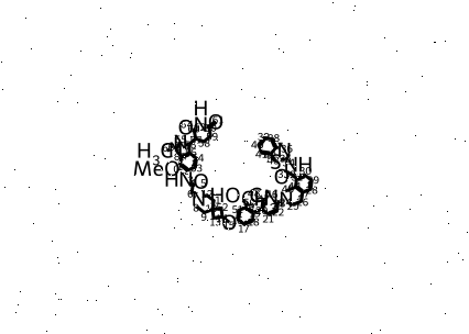 COc1c(NC(=O)CN2CCC3(CC2)CC(Oc2ccc(-c4ccc(N5CCc6cccc(C(=O)Nc7nc8ccccc8s7)c6C5)nc4C(=O)O)c(C)c2)C3)ccc2c(C3CCC(=O)NC3=O)nn(C)c12